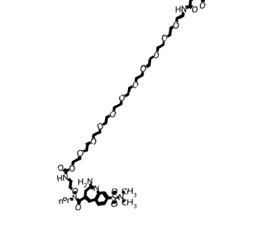 CCCN(OCCNC(=O)OCCOCCOCCOCCOCCOCCOCCOCCOCCOCCOCCNC(=O)CN1C(=O)C=CC1=O)C(=O)C1=Cc2ccc(S(=O)(=O)N(C)C)cc2N=C(N)C1